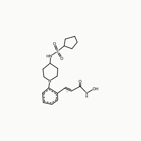 O=C(/C=C/c1ccccc1N1CCC(NS(=O)(=O)C2CCCC2)CC1)NO